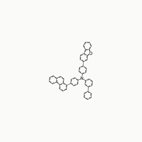 c1ccc(-c2cccc(N(c3ccc(-c4ccc5c(c4)oc4ccccc45)cc3)c3ccc(-c4cccc5c4ccc4ccccc45)cc3)c2)cc1